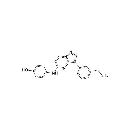 NCc1cccc(-c2cnn3ccc(Nc4ccc(O)cc4)nc23)c1